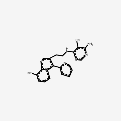 N#Cc1c(N)ncnc1NCCc1cnc2c(C#N)cccc2c1-c1ccccn1